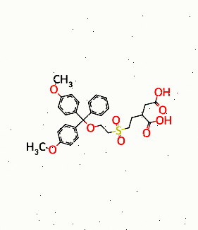 COc1ccc(C(OCCS(=O)(=O)CCC(CC(=O)O)C(=O)O)(c2ccccc2)c2ccc(OC)cc2)cc1